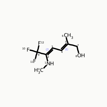 CN/C(=C\C=C(/C)CO)C(F)(F)F